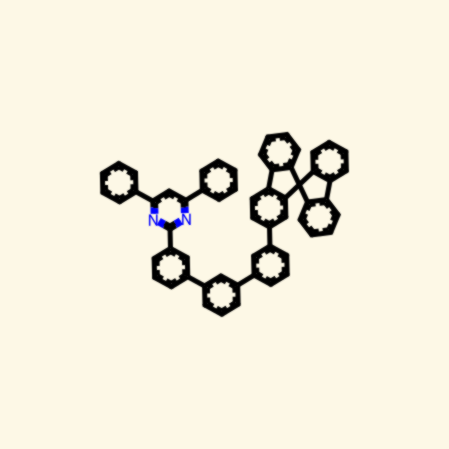 c1ccc(-c2cc(-c3ccccc3)nc(-c3cccc(-c4cccc(-c5cccc(-c6ccc7c(c6)C6(c8ccccc8-c8ccccc86)c6ccccc6-7)c5)c4)c3)n2)cc1